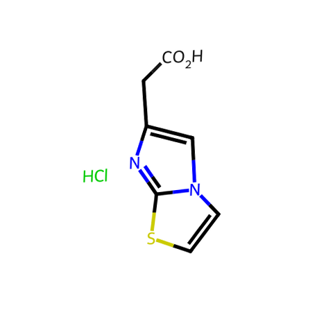 Cl.O=C(O)Cc1cn2ccsc2n1